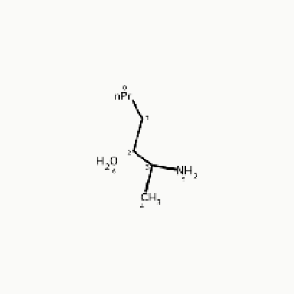 CCCCCC(C)N.O